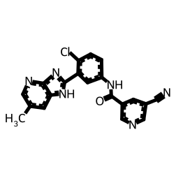 Cc1cnc2nc(-c3cc(NC(=O)c4cncc(C#N)c4)ccc3Cl)[nH]c2c1